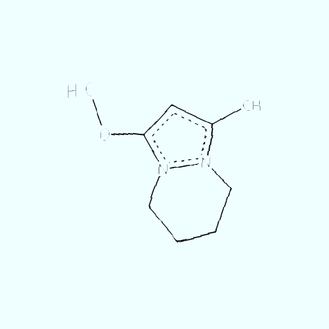 COc1cc(C)[n+]2n1CCCC2